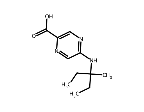 CCC(C)(CC)Nc1cnc(C(=O)O)cn1